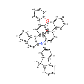 CC1(C)c2ccccc2-c2ccc(N(c3ccc(-c4ccccc4)cc3)c3ccc4ccccc4c3-c3ccc4oc5ccccc5c4c3)cc21